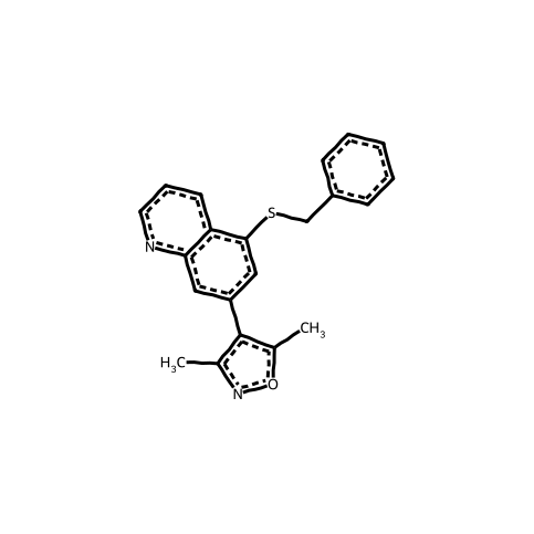 Cc1noc(C)c1-c1cc(SCc2ccccc2)c2cccnc2c1